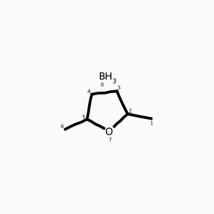 B.CC1CCC(C)O1